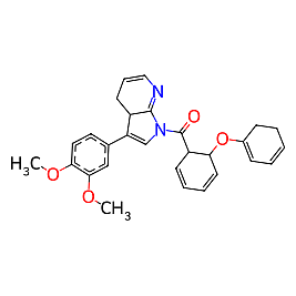 COc1ccc(C2=CN(C(=O)C3C=CC=CC3OC3=CC=CCC3)C3=NC=CCC23)cc1OC